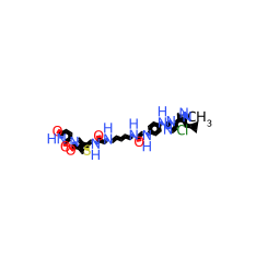 Cn1ncc(-c2nc(NC3CCC(NCC(=O)NCCCCCNCC(=O)NCc4scc5c4CN(C4CCC(=O)NC4=O)C5=O)CC3)ncc2Cl)c1CC1CC1